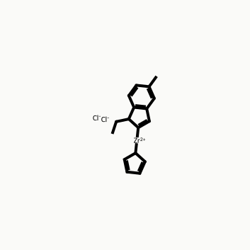 CCC1[C]([Zr+2][CH]2C=CC=C2)=Cc2cc(C)ccc21.[Cl-].[Cl-]